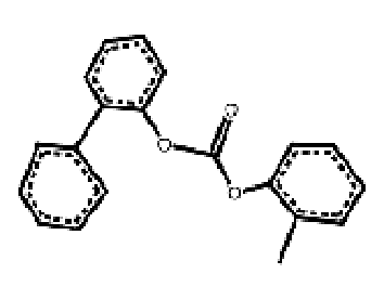 Cc1ccccc1OC(=O)Oc1ccccc1-c1ccccc1